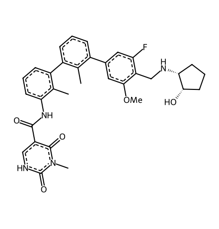 COc1cc(-c2cccc(-c3cccc(NC(=O)c4c[nH]c(=O)n(C)c4=O)c3C)c2C)cc(F)c1CN[C@@H]1CCC[C@@H]1O